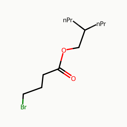 CCCC(CCC)COC(=O)CCCBr